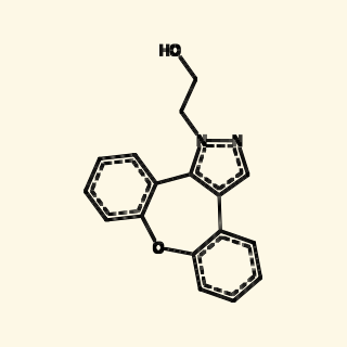 OCCn1ncc2c1-c1ccccc1Oc1ccccc1-2